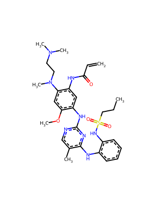 C=CC(=O)Nc1cc(Nc2ncc(C)c(Nc3ccccc3NS(=O)(=O)CCC)n2)c(OC)cc1N(C)CCN(C)C